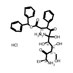 CC[C@H](N)C(=O)[C@@H](CO)[C@@H](O)[C@@H](O)C(N)(O)C(=O)C(c1ccccc1)[C@H](N)C(=O)OC(c1ccccc1)c1ccccc1.Cl